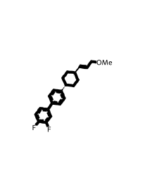 COCC=C[C@H]1CC[C@H](c2ccc(-c3ccc(F)c(F)c3)cc2)CC1